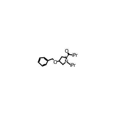 CC(C)C(=O)[C@@H]1CC(OCc2ccccc2)CN1C(C)C